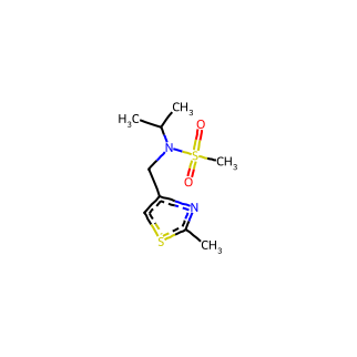 Cc1nc(CN(C(C)C)S(C)(=O)=O)cs1